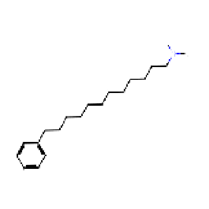 CN(C)CCCCCCCCCCCCc1ccccc1